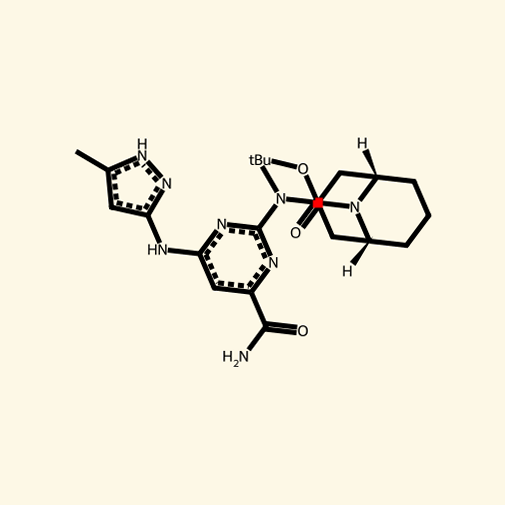 Cc1cc(Nc2cc(C(N)=O)nc(N(C)C3C[C@H]4CCC[C@@H](C3)N4C(=O)OC(C)(C)C)n2)n[nH]1